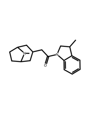 CC1CN(C(=O)CC2CC3CCC(C2)N3C)c2ccccc21